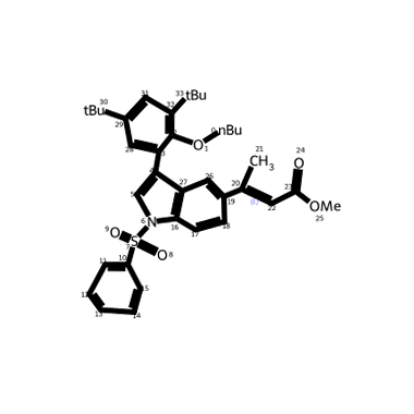 CCCCOc1c(-c2cn(S(=O)(=O)c3ccccc3)c3ccc(/C(C)=C/C(=O)OC)cc23)cc(C(C)(C)C)cc1C(C)(C)C